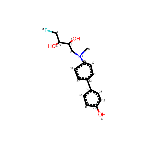 CN(CC(O)C(O)CF)c1ccc(-c2ccc(O)cc2)cc1